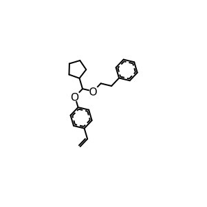 C=Cc1ccc(OC(OCCc2ccccc2)C2CCCC2)cc1